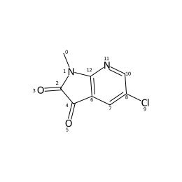 CN1C(=O)C(=O)c2cc(Cl)cnc21